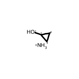 N.OC1CC1